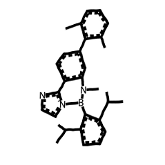 Cc1cccc(C)c1-c1ccc2c(c1)N(C)B(c1c(C(C)C)cccc1C(C)C)n1ccnc1-2